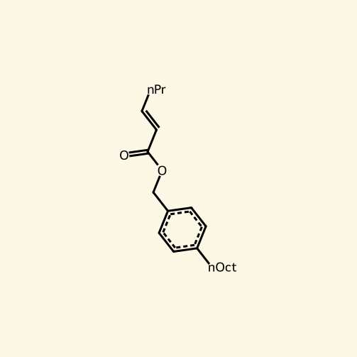 CCCC=CC(=O)OCc1ccc(CCCCCCCC)cc1